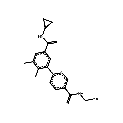 C=C(NCC(C)(C)C)c1ccc(-c2cc(C(=C)NC3CC3)cc(C)c2C)nc1